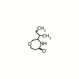 C=CC(C)C1COCCC(=O)N1